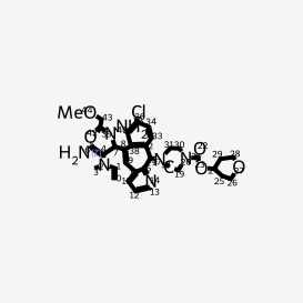 C=CN(C)/C(=C\N)C(C1=Cc2cccnc2C(N2CCN(C(=O)OC3CCOCC3)CC2)c2ccc(Cl)cc21)N(N)C(=O)COC